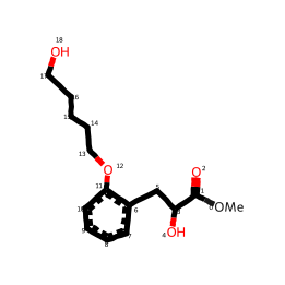 COC(=O)C(O)Cc1ccccc1OCCCCCO